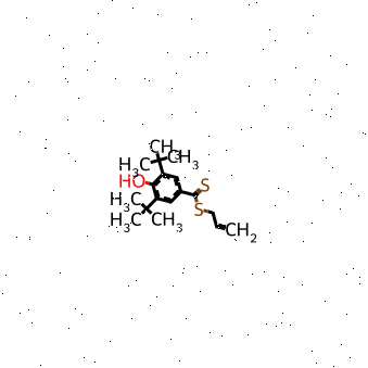 C=CCSC(=S)c1cc(C(C)(C)C)c(O)c(C(C)(C)C)c1